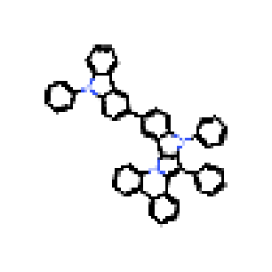 c1ccc(-c2c3c(c4cc(-c5ccc6c(c5)c5ccccc5n6-c5ccccc5)ccc4n3-c3ccccc3)n3c4ccccc4c4ccccc4c23)cc1